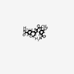 CN(C(=O)c1cc2c(s1)-c1ccc(C(N)=O)cc1OCC2)c1ccc(C(N)=O)cc1Cl